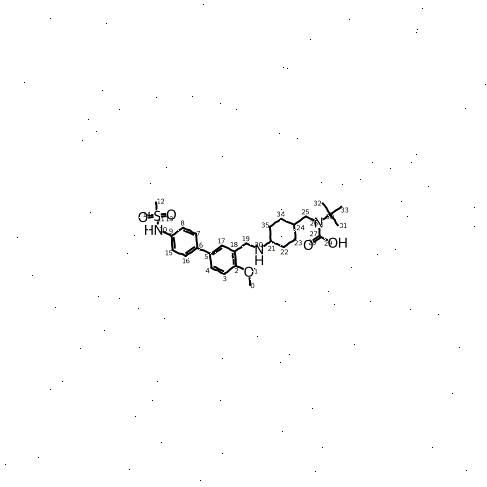 COc1ccc(-c2ccc(NS(C)(=O)=O)cc2)cc1CNC1CCC(CN(C(=O)O)C(C)(C)C)CC1